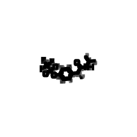 CC(C)NC(=O)[C@H](C)c1ccc(OS(=O)(=O)C(F)(F)F)cc1